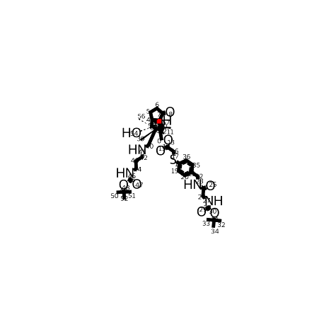 CC1CC[C@@]23CCC(=O)[C@H]2[C@]1(C)[C@H](OC(=O)CSc1ccc(CNC(=O)CNC(=O)OC(C)(C)C)cc1)C[C@](C)(CNCCCNC(=O)OC(C)(C)C)[C@@H](O)[C@@H]3C